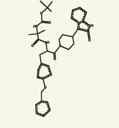 CC(C)(C)OC(=O)NC(C)(C)C(=O)NC(Cc1ccc(OCc2ccccc2)cc1)C(=O)N1CCC(n2c(=O)[nH]c3ccccc32)CC1